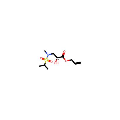 C=CCOC(=O)[C@@H](O)CN(C)S(=O)(=O)C(C)C